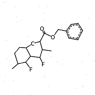 CC1CCC2CC(C(=O)OCc3ccccc3)C(C)C(F)C2C1F